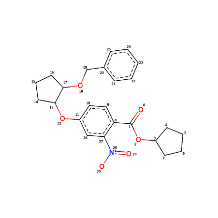 O=C(OC1CCCC1)c1ccc(OC2CCCC2OCc2ccccc2)cc1[N+](=O)[O-]